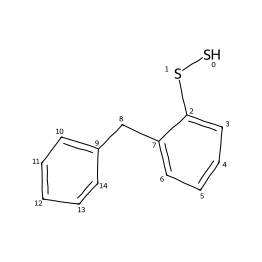 SSc1ccccc1Cc1ccccc1